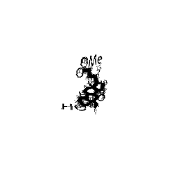 C/C=C1/C(=O)[C@@H]2[C@H](CC[C@]3(C)[C@@H]([C@@H](C)CCC(=O)OC)CC[C@@H]23)[C@@]2(C)CC[C@@H](O)C[C@@H]12